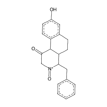 O=C1C[N+](=O)C(Cc2ccccc2)C2CCc3cc(O)ccc3C12